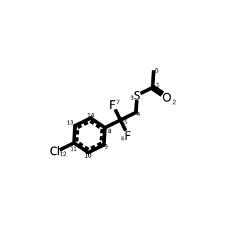 CC(=O)SCC(F)(F)c1ccc(Cl)cc1